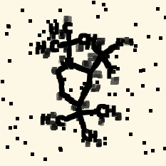 CC(C)(C)[C@H]1CCN(C(C)(C)C)[C@@H](C(F)(F)F)C1